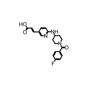 O=C(O)/C=C/c1ccc(NC2CCN(C(=O)c3ccc(F)cc3)CC2)nc1